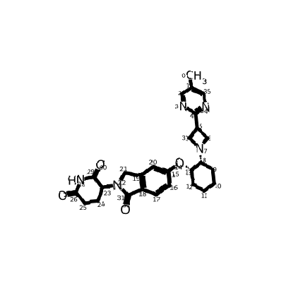 Cc1cnc(C2CN([C@@H]3CCCC[C@@H]3Oc3ccc4c(c3)CN(C3CCC(=O)NC3=O)C4=O)C2)nc1